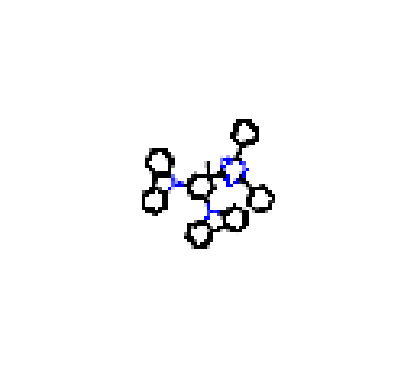 CC1(c2nc(-c3ccccc3)nc(-c3ccccc3)n2)C=C(n2c3c(c4ccccc42)CCC=C3)C=C(n2c3ccccc3c3ccccc32)C1